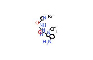 CC(C)(C)n1ccc(C(=O)NCc2nc(-c3cc4c(N)cccc4n3CC(F)(F)F)no2)c1